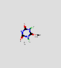 O=c1[nH]c(=O)n(Cl)c(=O)n1Cl.[H+].[NaH]